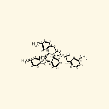 Cc1ccc(CC(CNC(=O)Cc2cccc(N)c2)N(C=N)c2ccccc2N(C)Cc2ccc(C)cc2)cc1